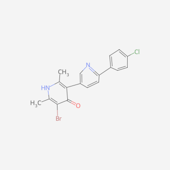 Cc1[nH]c(C)c(-c2ccc(-c3ccc(Cl)cc3)nc2)c(=O)c1Br